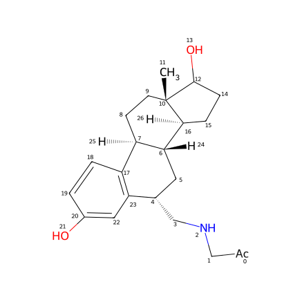 CC(=O)CNC[C@H]1C[C@@H]2[C@H](CC[C@]3(C)C(O)CC[C@@H]23)c2ccc(O)cc21